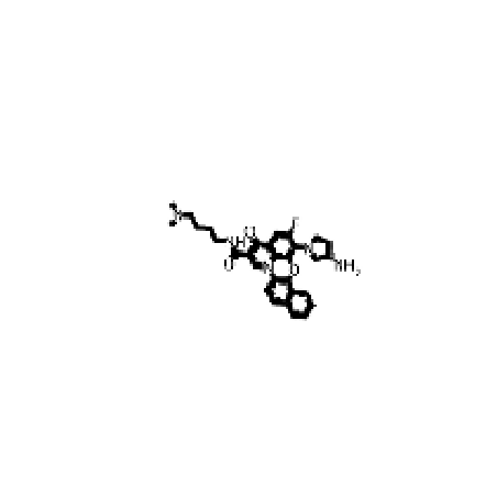 CN(C)CCCCNC(=O)c1cn2c3c(c(N4CC[C@@H](N)C4)c(F)cc3c1=O)Oc1c-2ccc2ccccc12